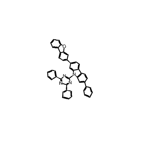 c1ccc(-c2ccc3c4ccc(-c5ccc6c(c5)oc5ccccc56)cc4n(-c4nc(-c5ccccc5)nc(-c5ccccc5)n4)c3c2)cc1